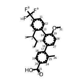 CC[C@@H](C)c1cc(C(F)(F)F)ccc1-c1cc(-c2ccc(C(=O)O)cc2C)ccc1OC